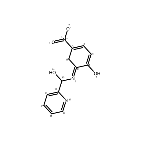 O=[N+]([O-])C1=CC=C(O)C(=NC(O)c2ccccn2)C1